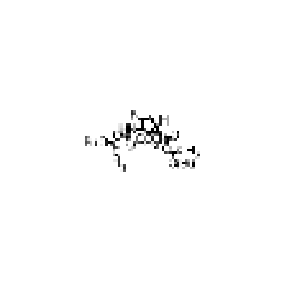 CC(C)COC(C)OC(=O)N[C@]1(C(=O)O)[C@H]2[C@@H](C[C@@H]1F)[C@@H]2C(=O)OC(C)OCC(C)C